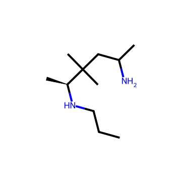 CCCN[C@@H](C)C(C)(C)CC(C)N